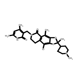 Cc1cc(C)c(CN2CCc3c(Cl)c4c(c(C)c3C2=O)OC(C)(C2CCN(C)CC2)O4)c(=O)[nH]1